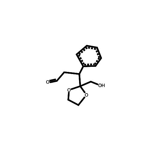 O=CCC(c1ccccc1)C1(CO)OCCO1